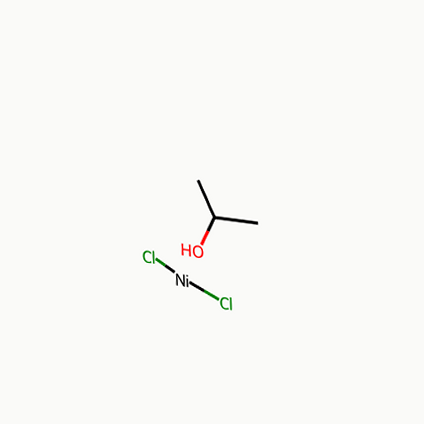 CC(C)O.[Cl][Ni][Cl]